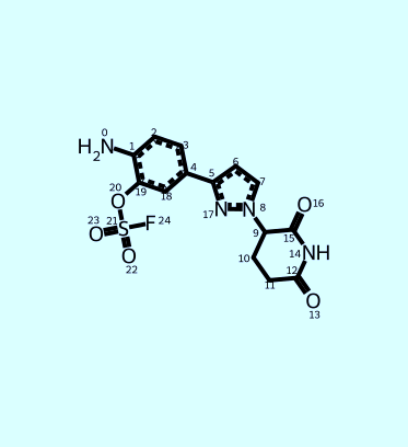 Nc1ccc(-c2ccn(C3CCC(=O)NC3=O)n2)cc1OS(=O)(=O)F